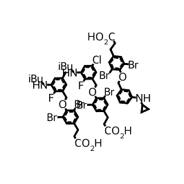 CCC(C)Nc1cc(C)cc(COc2c(Br)cc(CCC(=O)O)cc2Br)c1F.CCC(C)Nc1cc(Cl)cc(COc2c(Br)cc(CCC(=O)O)cc2Br)c1F.O=C(O)CCc1cc(Br)c(OCc2cccc(NC3CC3)c2)c(Br)c1